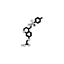 Cc1ccc(S(=O)(=O)NCC2CCOc3cc(OCC(=O)O)ccc32)cc1